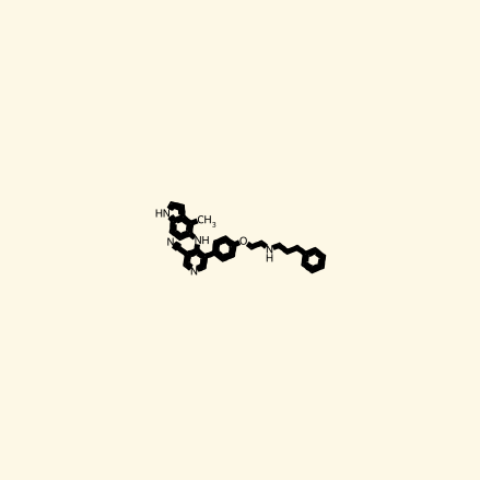 Cc1c(Nc2c(C#N)cncc2-c2ccc(OCCNCCCc3ccccc3)cc2)ccc2[nH]ccc12